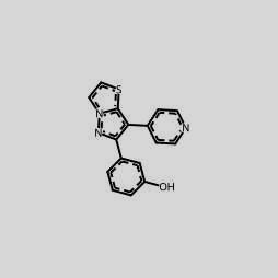 Oc1cccc(-c2nn3ccsc3c2-c2ccncc2)c1